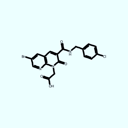 O=C(O)Cn1c(=O)c(C(=O)NCc2ccc(Cl)cc2)cc2cc(Br)cnc21